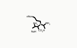 CCCCCCCCCCCCN(C(C)N)C(C(=O)O)C(C)N.[NaH]